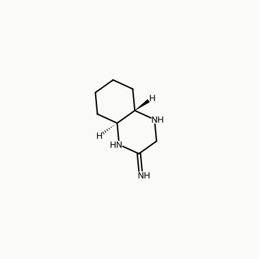 N=C1CN[C@H]2CCCC[C@@H]2N1